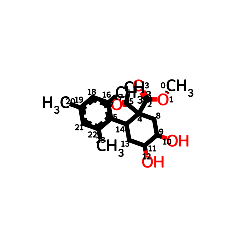 COC(=O)C1(C(C)=O)CC(O)C(O)CC1c1c(C)cc(C)cc1C